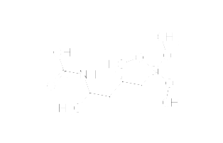 CO[Si](CCCC(C)NC(=O)O)(OC)OC